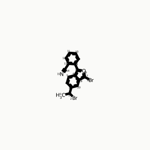 CC(Br)c1ccc2c(-c3ccccc3C#N)oc(Br)c2c1